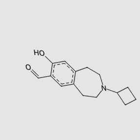 O=Cc1cc2c(cc1O)CCN(C1CCC1)CC2